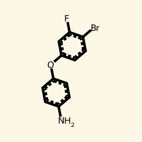 Nc1ccc(Oc2ccc(Br)c(F)c2)cc1